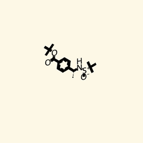 C[C@@H](N[S+]([O-])C(C)(C)C)c1ccc(C(=O)OC(C)(C)C)cc1